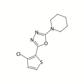 Clc1ccsc1-c1nnc(N2CCCCC2)o1